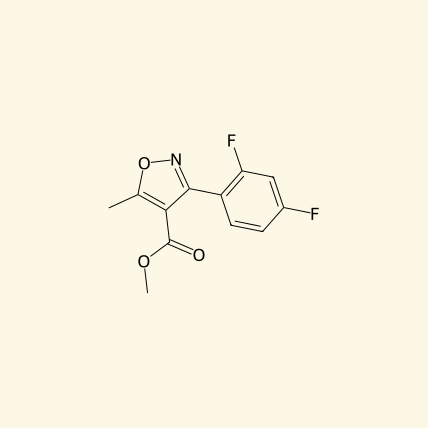 COC(=O)c1c(-c2ccc(F)cc2F)noc1C